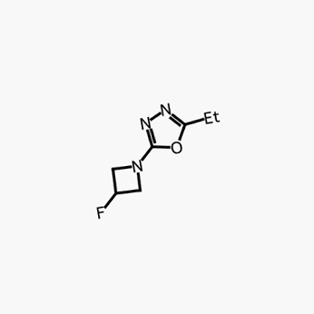 CCc1nnc(N2CC(F)C2)o1